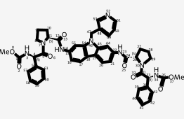 COC(=O)N[C@@H](C(=O)N1CCC[C@H]1C(=O)Nc1ccc2c3ccc(NC(=O)[C@@H]4CCCN4C(=O)[C@H](NC(=O)OC)c4ccccc4)cc3n(Cc3cccnc3)c2c1)c1ccccc1